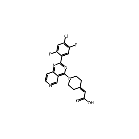 O=C(O)C=C1CCN(c2nc(-c3cc(F)c(Cl)cc3F)nc3ccncc23)CC1